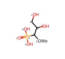 COC(C(O)CO)P(=O)(O)O